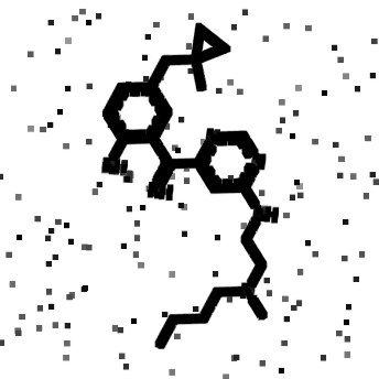 CCCCN(C)CCNc1cc(C(=N)c2cc(CC3(C)CC3)ccc2N)ncn1